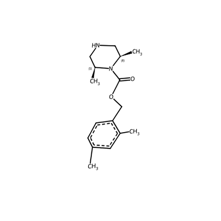 Cc1ccc(COC(=O)N2[C@H](C)CNC[C@@H]2C)c(C)c1